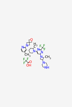 Cc1ccnc(N2CC3(COC3)C2)c1[C@H]1CCN(c2cc(N3CC(N4CCNCC4)[C@H]3C)nc(C(F)(F)F)n2)[C@H](C)C1.O=C(O)C(F)(F)F